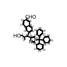 CC(CO)C(c1ccc2cc(C=O)ccc2c1)c1cn(C(c2ccccc2)(c2ccccc2)c2ccccc2)cn1